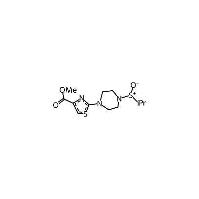 COC(=O)c1csc(N2CCN([S+]([O-])C(C)C)CC2)n1